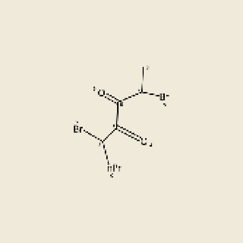 CCCC(Br)C(=O)C(=O)C(C)Br